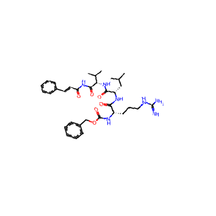 CC(C)C[C@H](NC(=O)[C@H](CCCNC(=N)N)NC(=O)OCc1ccccc1)C(=O)N[C@H](C(=O)NC(=O)C=Cc1ccccc1)C(C)C